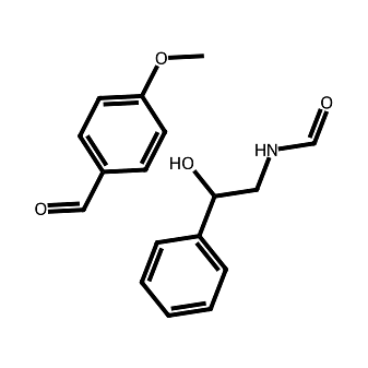 COc1ccc(C=O)cc1.O=CNCC(O)c1ccccc1